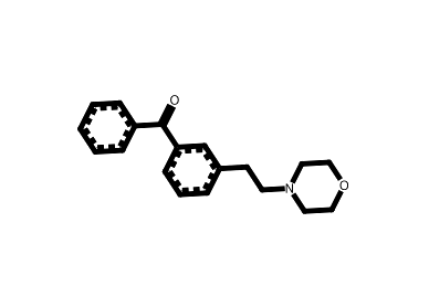 O=C(c1ccccc1)c1cccc(CCN2CCOCC2)c1